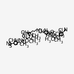 Cc1ncsc1-c1ccc([C@H](C)NC(=O)[C@@H]2C[C@@H](O)CN2C(=O)C(c2ncc(CCCN3CCN(c4ccc(C(=O)NC5C(C)(C)C(Oc6ccc(C#N)c(Cl)c6)C5(C)C)cn4)CC3)n2C)C(C)C)cc1